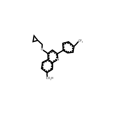 O=C(O)c1ccc2c(OCC3CC3)cc(-c3ccc(C(F)(F)F)cc3)nc2c1